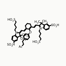 CC(=O)CCc1ccc(OC2=C(/C=C/C3=[N+](CCCCS(=O)(=O)O)c4ccc(S(=O)(=O)O)cc4C3(C)C)CCC/C2=C\C=C2\N(CCCCS(=O)(=O)O)c3ccc(S(=O)(=O)O)cc3C2(C)C)cc1